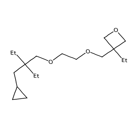 CCC1(COCCOCC(CC)(CC)CC2CC2)COC1